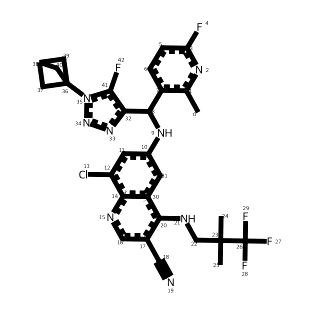 Cc1nc(F)ccc1C(Nc1cc(Cl)c2ncc(C#N)c(NCC(C)(C)C(F)(F)F)c2c1)c1nnn(C23CC(C2)C3)c1F